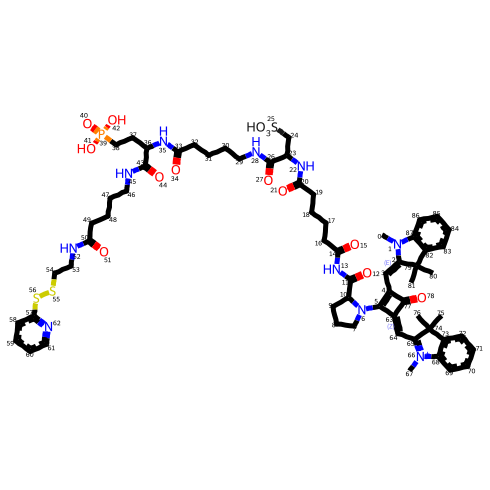 CN1/C(=C/C2=C(N3CCCC3C(=O)NC(=O)CCCCC(=O)NC(CS(=O)(=O)O)C(=O)NCCCCC(=O)NC(CCP(=O)(O)O)C(=O)NCCCCC(=O)NCCSSc3ccccn3)C(=C/C3=[N+](C)c4ccccc4C3(C)C)/C2=O)C(C)(C)c2ccccc21